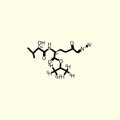 [2H]C([2H])([2H])C(OC(=O)[C@H](CCC(=O)C=[N+]=[N-])NC(=O)[C@@H](O)C(C)C)C([2H])([2H])[2H]